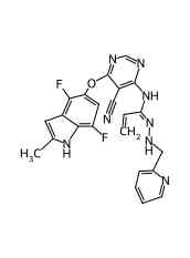 C=C/C(=N\NCc1ccccn1)Nc1ncnc(Oc2cc(F)c3[nH]c(C)cc3c2F)c1C#N